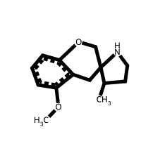 COc1cccc2c1CC1(CO2)NCCC1C